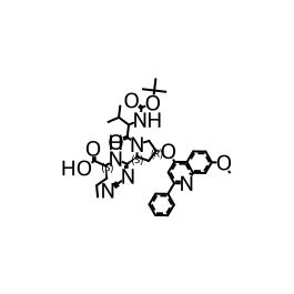 CCC[C@H](NC(=NC#N)[C@@H]1C[C@@H](Oc2cc(-c3ccccc3)nc3cc(OC)ccc23)CN1C(=O)C(NC(=O)OC(C)(C)C)C(C)C)C(=O)O